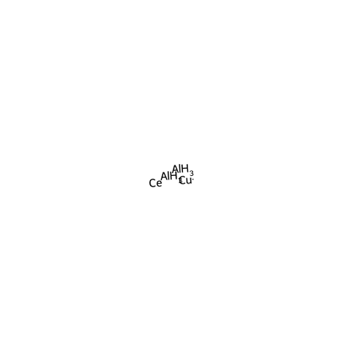 [AlH3].[AlH3].[Ce].[Cu]